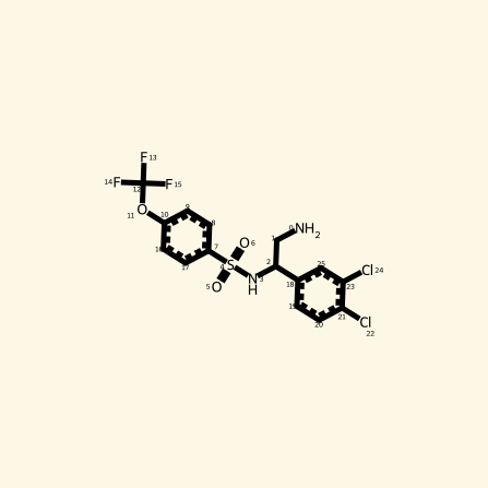 NCC(NS(=O)(=O)c1ccc(OC(F)(F)F)cc1)c1ccc(Cl)c(Cl)c1